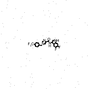 O=C(Nc1c[nH]c2cc(F)c(F)cc12)c1cn(Cc2ccc(C(F)(F)F)cc2)cn1